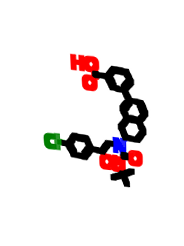 CC(C)(C)OC(=O)N(C[C@@H](O)c1ccc(Cl)cc1)[C@H]1CCc2ccc(-c3cccc(C(=O)O)c3)cc2C1